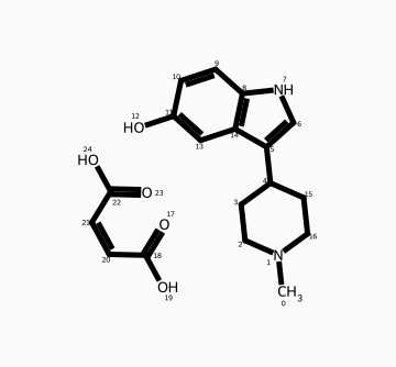 CN1CCC(c2c[nH]c3ccc(O)cc23)CC1.O=C(O)/C=C\C(=O)O